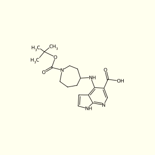 CC(C)(C)OC(=O)N1CCCC(Nc2c(C(=O)O)cnc3[nH]ccc23)CC1